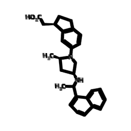 CC(N[C@H]1C[C@@H](C)N(c2ccc3c(c2)[C@@H](CC(=O)O)CC3)C1)c1cccc2ccccc12